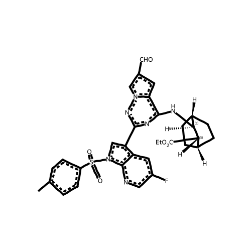 CCOC(=O)[C@H]1[C@H]2CC[C@H](CC2)[C@@H]1Nc1nc(-c2cn(S(=O)(=O)c3ccc(C)cc3)c3ncc(F)cc23)nn2cc(C=O)cc12